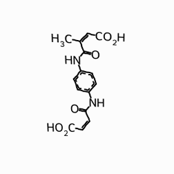 C/C(=C/C(=O)O)C(=O)Nc1ccc(NC(=O)/C=C\C(=O)O)cc1